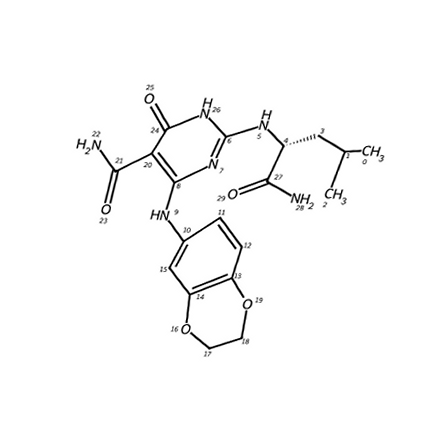 CC(C)C[C@@H](Nc1nc(Nc2ccc3c(c2)OCCO3)c(C(N)=O)c(=O)[nH]1)C(N)=O